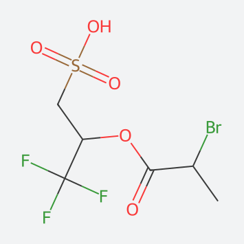 CC(Br)C(=O)OC(CS(=O)(=O)O)C(F)(F)F